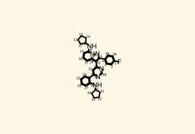 Fc1ccc(-c2nn3c(NC4CCCC4)cccc3c2-c2cc(-c3ccccc3NC3CCCC3)ncn2)cc1